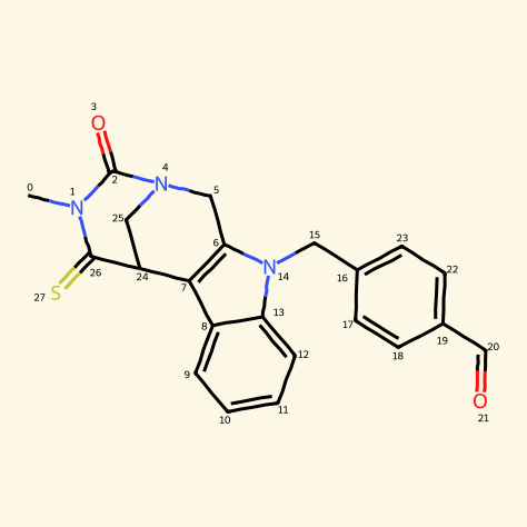 CN1C(=O)N2Cc3c(c4ccccc4n3Cc3ccc(C=O)cc3)C(C2)C1=S